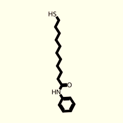 O=C(CCCCCCCCCCS)Nc1ccccc1